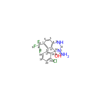 NN1CNc2ccc(C(F)(F)F)cc2C1(O)c1ccccc1Cl